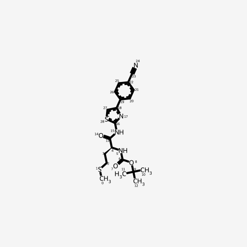 CSCC[C@H](NC(=O)OC(C)(C)C)C(=O)Nc1nc(-c2ccc(C#N)cc2)cs1